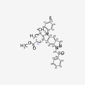 COC(=O)/C=C/c1c(C(C)C)n(-c2ccc(F)cc2)c2cc3cnn(CC(=O)c4ccccc4)c3cc12